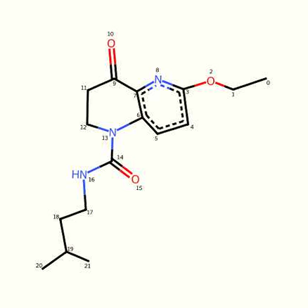 CCOc1ccc2c(n1)C(=O)CCN2C(=O)NCCC(C)C